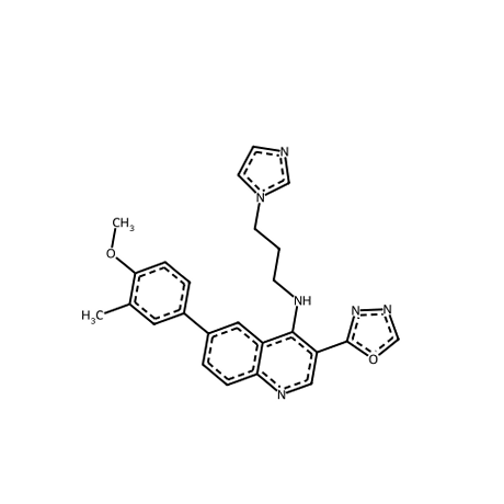 COc1ccc(-c2ccc3ncc(-c4nnco4)c(NCCCn4ccnc4)c3c2)cc1C